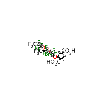 O=C(O)c1ccc(C(=O)O)c(OC(F)(F)C(F)(Br)OC(F)(F)C(F)(OC(F)(F)C(F)(F)C(F)(F)F)C(F)(F)F)c1